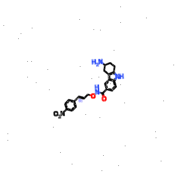 NC1CCc2[nH]c3ccc(C(=O)NOC/C=C/c4ccc([N+](=O)[O-])cc4)cc3c2C1